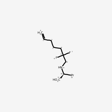 C=CCCCC(F)(F)CN[C@H](C(=O)O)C(C)C